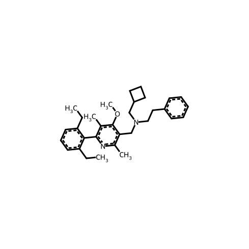 CCc1cccc(CC)c1-c1nc(C)c(CN(CCc2ccccc2)CC2CCC2)c(OC)c1C